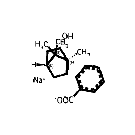 CC1(C)[C@@H]2CC[C@]1(C)[C@@H](O)C2.O=C([O-])c1ccccc1.[Na+]